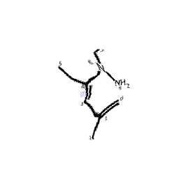 C=C(C)/C=C(/C)N(C)N